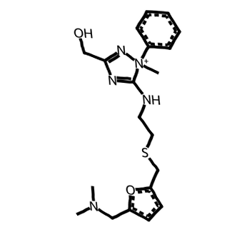 CN(C)Cc1ccc(CSCCNC2=NC(CO)=N[N+]2(C)c2ccccc2)o1